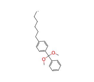 [CH2]CCCCCc1ccc(C(OC)(OC)c2ccccc2)cc1